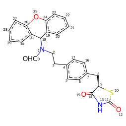 O=CN(CCc1ccc(C[C@H]2SC(=O)NC2=O)cc1)C1c2ccccc2Oc2ccccc21